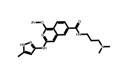 Cc1cc(Nc2cc3cc(C(=O)NCCCN(C)C)ccc3c(OC(C)C)n2)n[nH]1